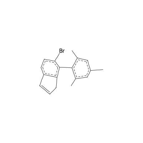 Cc1cc(C)c(-c2c(Br)ccc3c2CC=C3)c(C)c1